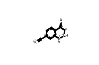 C#Cc1ccc2c(c1)NN[CH]C2=O